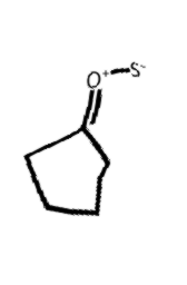 [S-][O+]=C1CCCC1